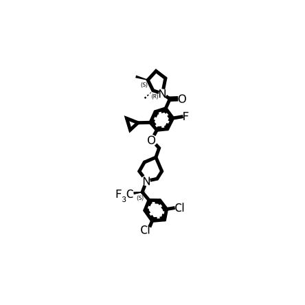 C[C@@H]1[C@@H](C)CCN1C(=O)c1cc(C2CC2)c(OCC2CCN([C@@H](c3cc(Cl)cc(Cl)c3)C(F)(F)F)CC2)cc1F